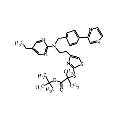 CCc1cnc(N(CCc2csc(SC(C)(C)C(=O)OC(C)(C)C)n2)Cc2ccc(-c3cnccn3)cc2)nc1